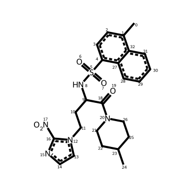 Cc1ccc(S(=O)(=O)NC(CCn2ccnc2[N+](=O)[O-])C(=O)N2CCC(C)CC2)c2ccccc12